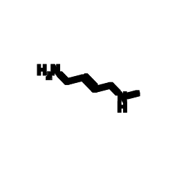 CNCC=CCN